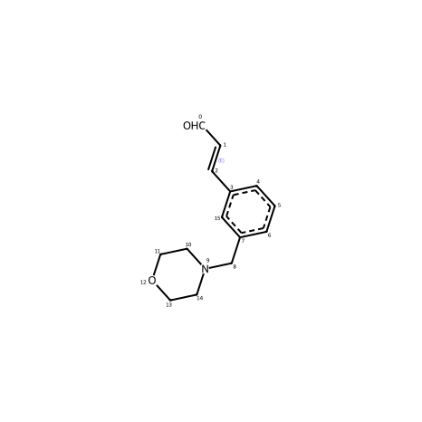 O=C/C=C/c1cccc(CN2CCOCC2)c1